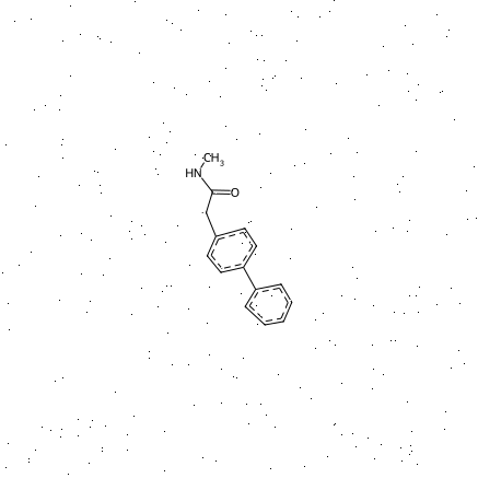 CNC(=O)[CH]c1ccc(-c2ccccc2)cc1